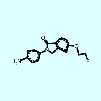 Nc1ccc(N2Cc3cc(OCCF)ccc3C2=O)cc1